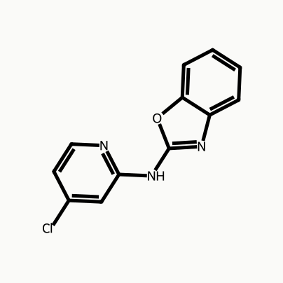 Clc1ccnc(Nc2nc3ccccc3o2)c1